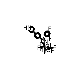 O=C(OC(C1=NN(c2ccc(F)cc2F)C(c2ccc(C3=CCNCC3)cc2)C1)(C(F)(F)F)C(F)(F)F)C(F)(F)F